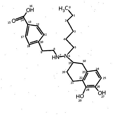 CCCCCCN(NCCc1ccc(C(=O)O)cc1)C1CCc2c(ccc(O)c2O)C1